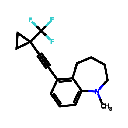 CN1CCCCc2c(C#CC3(C(F)(F)F)CC3)cccc21